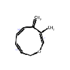 C=C1/C=C\C=C/CO/C=C\1C